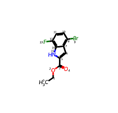 CCOC(=O)c1cc2c(Br)ccc(F)c2[nH]1